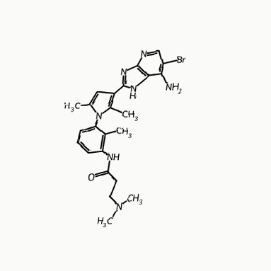 Cc1c(NC(=O)CCN(C)C)cccc1-n1c(C)cc(-c2nc3ncc(Br)c(N)c3[nH]2)c1C